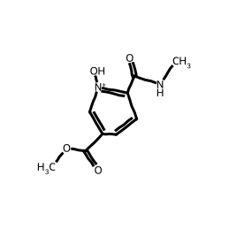 CNC(=O)c1ccc(C(=O)OC)c[n+]1O